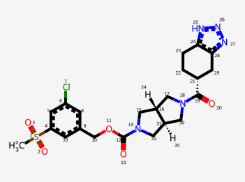 CS(=O)(=O)c1cc(Cl)cc(COC(=O)N2C[C@@H]3CN(C(=O)[C@@H]4CCc5[nH]nnc5C4)C[C@H]3C2)c1